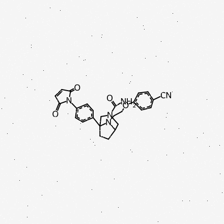 N#Cc1ccc(OCCN2C3CCC2(c2ccc(N4C(=O)C=CC4=O)cc2)CN(C(N)=O)C3)cc1